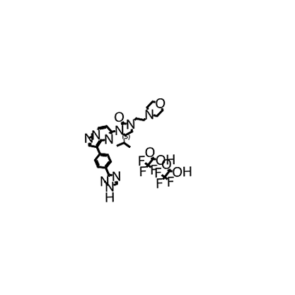 CC(C)[C@H]1CN(CCN2CCOCC2)C(=O)N1c1ccn2ncc(-c3ccc(-c4nc[nH]n4)cc3)c2n1.O=C(O)C(F)(F)F.O=C(O)C(F)(F)F